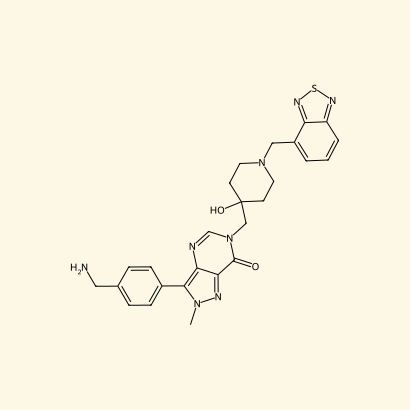 Cn1nc2c(=O)n(CC3(O)CCN(Cc4cccc5nsnc45)CC3)cnc2c1-c1ccc(CN)cc1